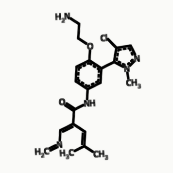 C=N/C=C(\C=C(C)C)C(=O)Nc1ccc(OCCN)c(-c2c(Cl)cnn2C)c1